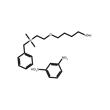 CCCCCCCCCCCCCCOCC[N+](C)(C)Cc1ccccc1.O=[N+]([O-])c1cccc(S(=O)(=O)O)c1